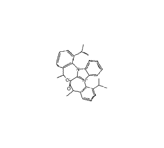 CC(C)c1cccc(C(C)C)c1-n1c(C(=O)[O-])[n+](-c2c(C(C)C)cccc2C(C)C)c2ccccc21